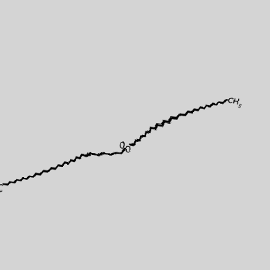 CCCCCCCCCCCCCCCCCCCCCCCCCCCCCCCCCC(=O)OCCCCCCCCCCCCCCCCCCCCCCCCCCCCCCCC